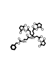 O=C(CCNC(=O)OCc1ccccc1)NC(CCC(=O)ON1C(=O)CCC1=O)(CCC(=O)ON1C(=O)CCC1=O)CCC(=O)ON1C(=O)CCC1=O